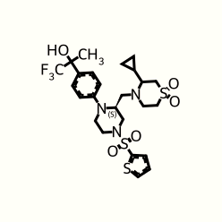 CC(O)(c1ccc(N2CCN(S(=O)(=O)c3cccs3)C[C@@H]2CN2CCS(=O)(=O)CC2C2CC2)cc1)C(F)(F)F